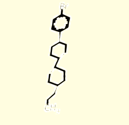 CCC[C@H]1CC[C@H]([C@H]2CC[C@H](c3ccc(Br)cc3)CC2)CC1